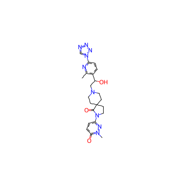 Cc1nc(-n2cnnn2)ccc1C(O)CN1CCC2(CC1)CCN(c1ccc(=O)n(C)n1)C2=O